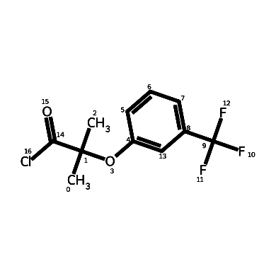 CC(C)(Oc1cccc(C(F)(F)F)c1)C(=O)Cl